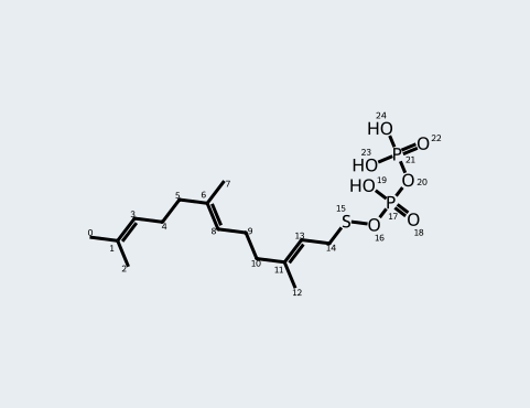 CC(C)=CCCC(C)=CCCC(C)=CCSOP(=O)(O)OP(=O)(O)O